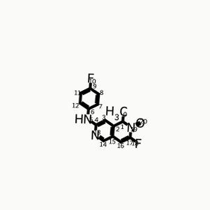 CC1c2cc(Nc3ccc(F)cc3)ncc2C=C(F)[N+]1=O